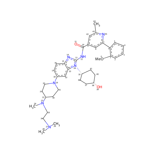 COc1ccccc1-c1cc(C(=O)Nc2nc3ccc(N4CCC(N(C)CCN(C)C)CC4)cc3n2[C@H]2CC[C@@H](O)CC2)cc(C)n1